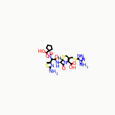 Nc1nc(/C(=N/OC2(C(=O)O)CCCC2)C(=O)N[C@@H]2C(=O)N3C(C(=O)O)=C(CSc4nnnn4N)CS[C@@H]23)cs1